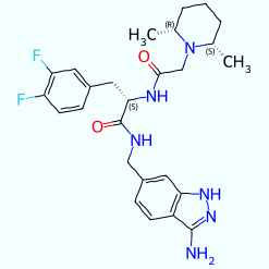 C[C@@H]1CCC[C@H](C)N1CC(=O)N[C@@H](Cc1ccc(F)c(F)c1)C(=O)NCc1ccc2c(N)n[nH]c2c1